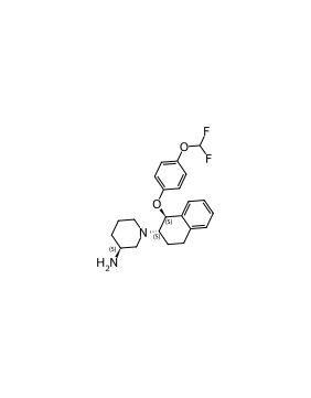 N[C@H]1CCCN([C@H]2CCc3ccccc3[C@@H]2Oc2ccc(OC(F)F)cc2)C1